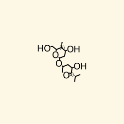 CC(C)[C@@H]1OCC(OC2CC(O)[C@H](C)C(CO)O2)CC1O